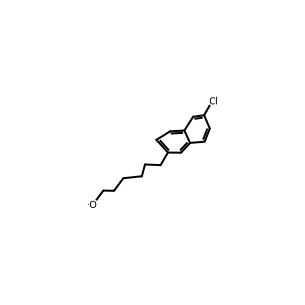 [O]CCCCCCc1ccc2cc(Cl)ccc2c1